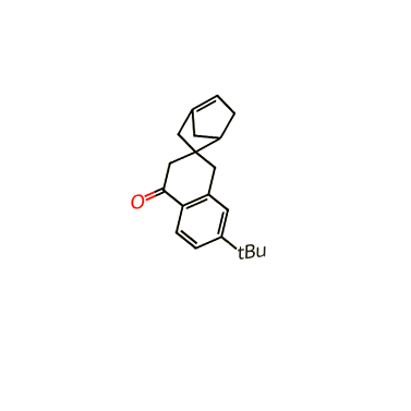 CC(C)(C)c1ccc2c(c1)CC1(CC2=O)CC2=CCC1C2